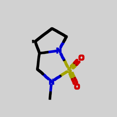 CN1CC2[C]CCN2S1(=O)=O